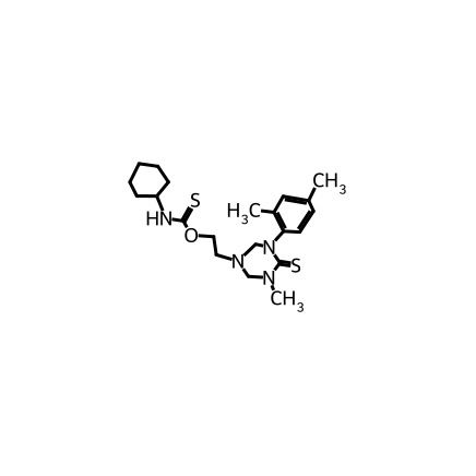 Cc1ccc(N2CN(CCOC(=S)NC3CCCCC3)CN(C)C2=S)c(C)c1